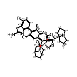 Nc1nc2c(-c3c(Cl)cc4c(N5CC6CCC(C5)N6C(=O)n5ccnn5)nc(OC[C@@]56CCCN5C[C@H](F)C6)nc4c3F)ccc(F)c2s1